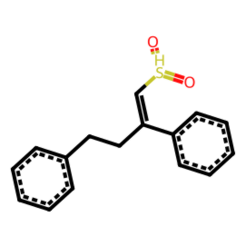 O=[SH](=O)C=C(CCc1ccccc1)c1ccccc1